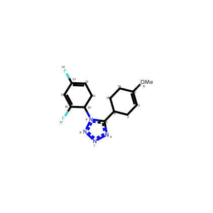 COC1=CCC(c2nnnn2C2CC=C(F)C=C2F)CC1